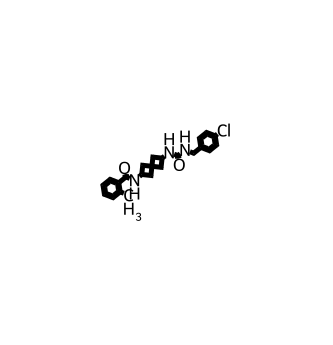 Cc1ccccc1C(=O)NC1CC2(CC(NC(=O)NCc3ccc(Cl)cc3)C2)C1